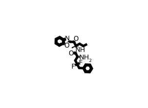 CCC[C@](C)(NC(=O)[C@@H](N)CC(F)(F)Cc1ccccc1)C(=O)c1nc2ccccc2o1